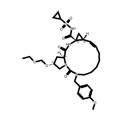 CCOCO[C@@H]1C[C@H]2C(=O)N[C@]3(C(=O)NS(=O)(=O)C4CC4)C[C@@H]3/C=C\CCCCCN(Cc3ccc(OC)cc3)C(=O)N2C1